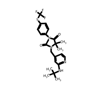 CC(C)(C)Nc1cc(CN2C(=O)N(c3ccc(SC(F)(F)F)cc3)C(=O)C2(C)C)ccn1